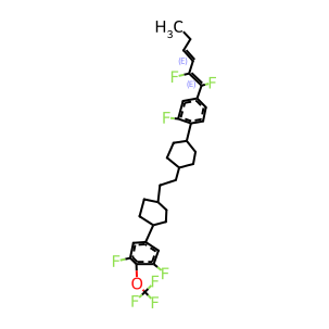 CC/C=C/C(F)=C(\F)c1ccc(C2CCC(CCC3CCC(c4cc(F)c(OC(F)(F)F)c(F)c4)CC3)CC2)c(F)c1